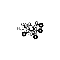 Cc1cn([C@@H]2O[C@H](COC(=O)c3ccccc3)[C@@H](OC(=O)c3ccccc3)[C@H](OC(=O)c3ccccc3)C[C@H]2OC(=O)c2ccccc2)c(=O)[nH]c1=O